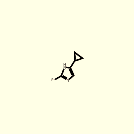 CCc1ncc(C2CC2)[nH]1